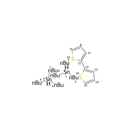 CCC[CH2][SnH]([CH2]CCC)[CH2]CCC.CCC[CH2][SnH]([CH2]CCC)[CH2]CCC.c1csc(-c2cccs2)c1